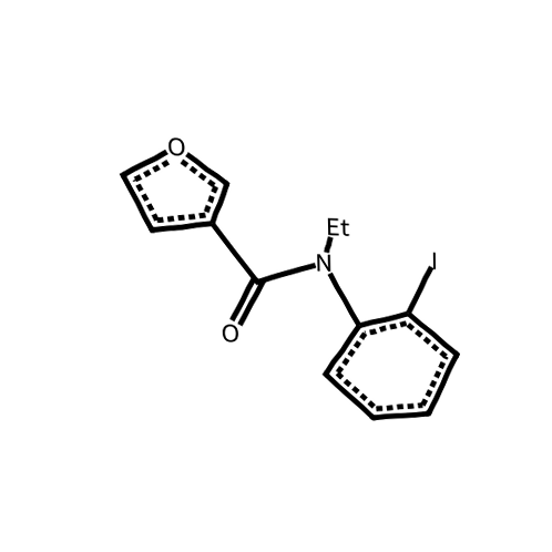 CCN(C(=O)c1ccoc1)c1ccccc1I